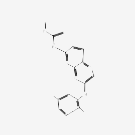 CCNC(=O)Nc1ccc2ncc(Nc3cc(C(=O)O)ccc3Cl)nc2n1